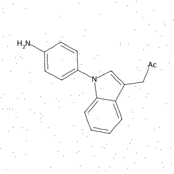 CC(=O)Cc1cn(-c2ccc(N)cc2)c2ccccc12